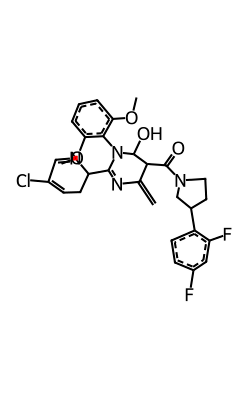 C=C1N=C(C2CC=C(Cl)C=N2)N(c2c(OC)cccc2OC)C(O)C1C(=O)N1CCC(c2ccc(F)cc2F)C1